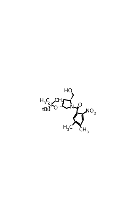 Cc1cc(C(=O)N2C[C@H](O[Si](C)(C)C(C)(C)C)C[C@H]2CO)c([N+](=O)[O-])cc1C